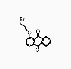 O=C1c2ccccc2C(=O)c2c(OCCCBr)cccc21